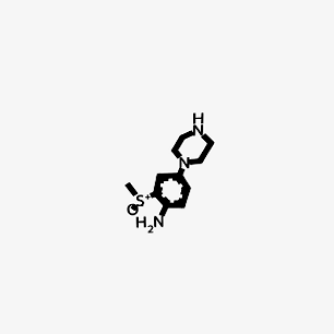 C[S+]([O-])c1cc(N2CCNCC2)ccc1N